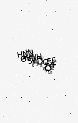 CC1(N2CCC(Oc3ccccc3C(F)(F)F)CC2)Nc2nc[nH]c(=O)c2S1